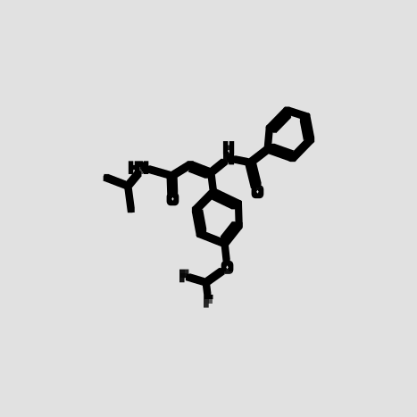 CC(C)NC(=O)C=C(NC(=O)c1ccccc1)c1ccc(OC(F)F)cc1